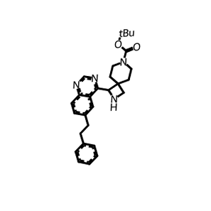 CC(C)(C)OC(=O)N1CCC2(CC1)CNC2c1ncnc2ccc(CCc3ccccc3)cc12